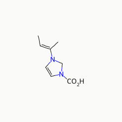 CC=C(C)N1C=CN(C(=O)O)C1